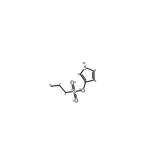 CCCS(=O)(=O)Oc1ccsc1